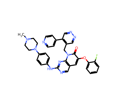 CN1CCN(c2ccc(Nc3ncc4cc(Oc5ccccc5F)c(=O)n(Cc5cnncc5-c5ccncc5)c4n3)cc2)CC1